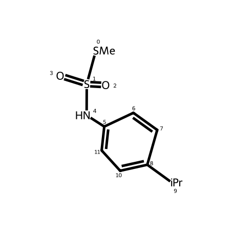 CSS(=O)(=O)Nc1ccc(C(C)C)cc1